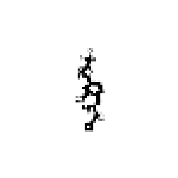 O=C(NCc1ccc(-c2noc(C(F)(F)F)n2)cc1Cl)C1CCC1